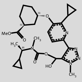 COC(=O)[C@H]1CCC[C@H](Oc2ccc(-c3nnn(C)c3C(O)OC(=O)N(C)[C@H](C)C3CC3)nc2C2CC2)C1